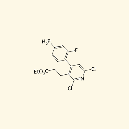 CCOC(=O)CCc1c(-c2ccc(P)cc2F)cc(Cl)nc1Cl